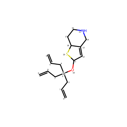 C=CC[Si](CC=C)(CC=C)OC1C=C2CNCCC2S1